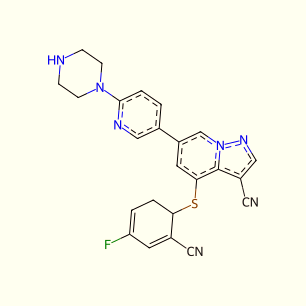 N#CC1=CC(F)=CCC1Sc1cc(-c2ccc(N3CCNCC3)nc2)cn2ncc(C#N)c12